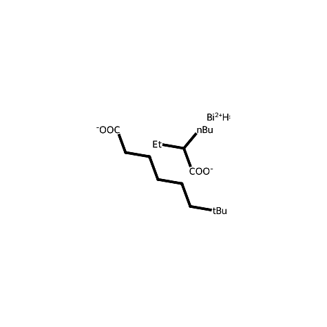 CC(C)(C)CCCCCC(=O)[O-].CCCCC(CC)C(=O)[O-].[BiH+2]